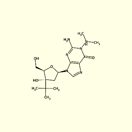 C[SiH](C)n1c(N)nc2c(ncn2[C@H]2C[C@@](O)(C(C)(C)C)[C@@H](CO)O2)c1=O